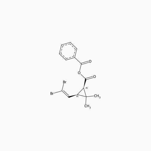 CC1(C)[C@H](C(=O)OC(=O)c2ccccc2)[C@@H]1C=C(Br)Br